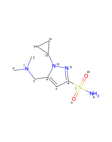 CN(C)Cc1cc(S(N)(=O)=O)nn1C1CC1